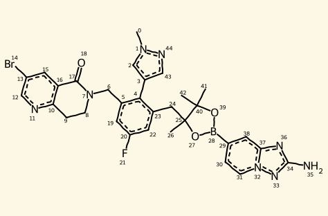 Cn1cc(-c2c(CN3CCc4ncc(Br)cc4C3=O)cc(F)cc2CC2(C)OB(c3ccn4nc(N)nc4c3)OC2(C)C)cn1